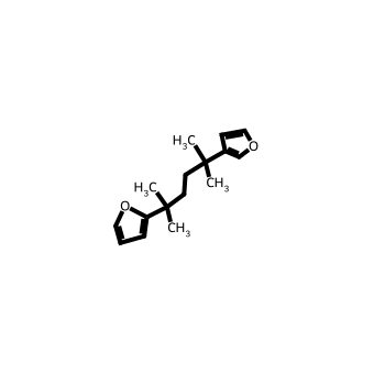 CC(C)(CCC(C)(C)c1ccco1)c1ccoc1